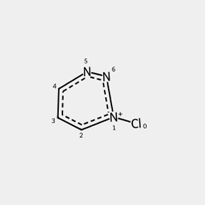 Cl[n+]1cccnn1